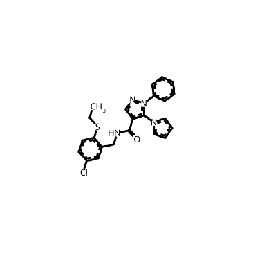 CCSc1ccc(Cl)cc1CNC(=O)c1cnn(-c2ccccc2)c1-n1cccc1